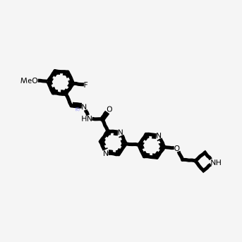 COc1ccc(F)c(/C=N/NC(=O)c2cncc(-c3ccc(OCC4CNC4)nc3)n2)c1